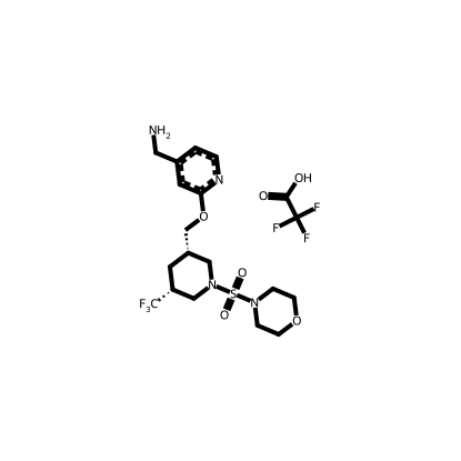 NCc1ccnc(OC[C@H]2C[C@@H](C(F)(F)F)CN(S(=O)(=O)N3CCOCC3)C2)c1.O=C(O)C(F)(F)F